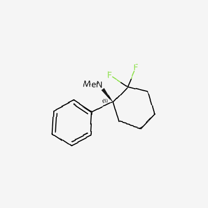 CN[C@]1(c2ccccc2)CCCCC1(F)F